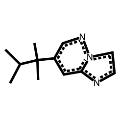 CC(C)C(C)(C)c1cnn2ccnc2c1